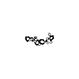 O=C(ON1C(=O)CCC1=O)N1CCC2(CC1)CN(S(=O)(=O)CC1CCCCO1)CCO2